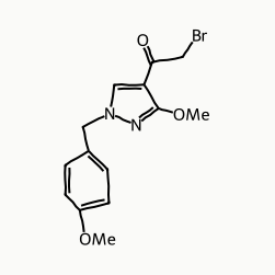 COc1ccc(Cn2cc(C(=O)CBr)c(OC)n2)cc1